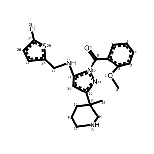 COc1ccccc1C(=O)n1nc(C2(C)CCCNC2)cc1NCc1ccc(Cl)s1